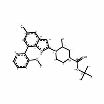 COc1cccnc1-c1cc(Cl)cc2nc(N3CCN(C(=O)OC(C)(C)C)CC3C)oc12